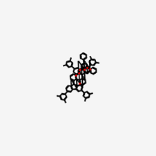 Cc1cc(C)cc(C2=Cc3c(n(-c4cccnc4-c4c(C=Cc5nc(-c6ccccc6)nc(-c6ccccc6)n5)cccc4-n4c5ccc(-c6cc(C)cc(C)c6)cc5c5cc(-c6cc(C)cc(C)c6)ccc54)c4ccc(-c5cc(C)cc(C)c5)cc34)CC2)c1